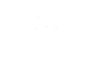 Cn1c(C(F)(F)F)cc(=O)n(-c2cc(OC(F)F)c(Cl)cc2F)c1=O